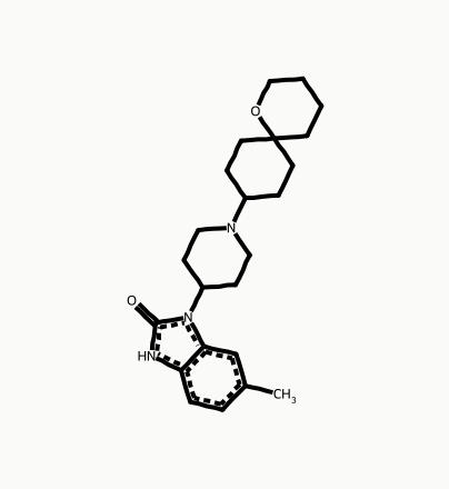 Cc1ccc2[nH]c(=O)n(C3CCN(C4CCC5(CCCCO5)CC4)CC3)c2c1